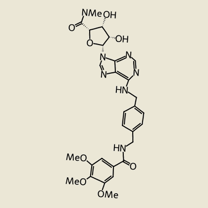 CNC(=O)[C@H]1O[C@@H](n2cnc3c(NCc4ccc(CNC(=O)c5cc(OC)c(OC)c(OC)c5)cc4)ncnc32)[C@@H](O)[C@H]1O